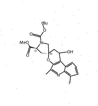 COC(=O)[C@@H]1C[C@@]2(CC(O)c3c(c(C)nc4c(F)cccc34)O2)CN1C(=O)OC(C)(C)C